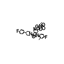 Cc1cc(F)ccc1Nc1cc(S(=O)(=O)N2CCOC2=O)ncc1C(=O)N1CCC(c2ccc(F)cc2)CC1